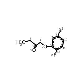 CCC(=O)COc1cc(Br)ccc1F